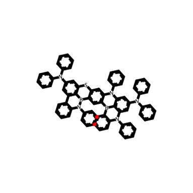 c1ccc(N2B3c4cc5c(cc4Sc4cc(N(c6ccccc6)c6ccccc6)cc(c43)-c3ccccc32)N(c2ccccc2)c2cc(N(c3ccccc3)c3ccccc3)cc3c2B5c2ccccc2N3c2ccccc2)cc1